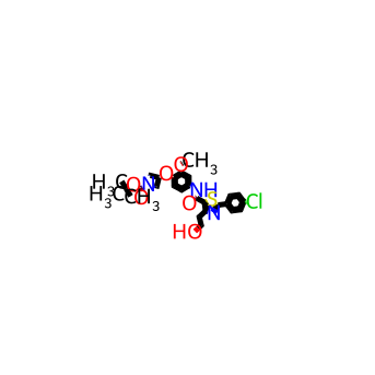 COc1cc(NC(=O)c2sc(-c3ccc(Cl)cc3)nc2CCO)ccc1OC1CN(C(=O)OC(C)(C)C)C1